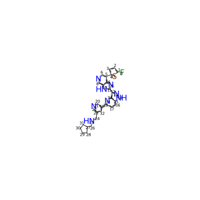 Fc1ccc(-c2cncc3[nH]c(-c4n[nH]c5ccc(-c6cncc(CNCC7CCCC7)c6)nc45)nc23)s1